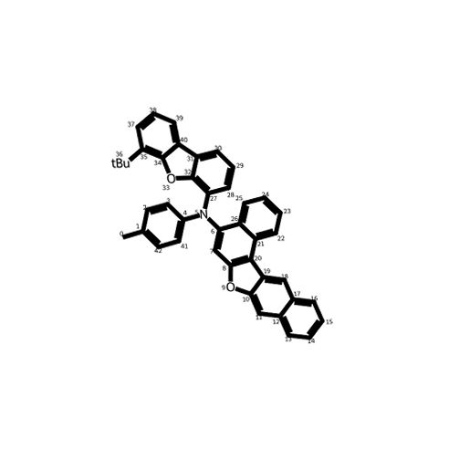 Cc1ccc(N(c2cc3oc4cc5ccccc5cc4c3c3ccccc23)c2cccc3c2oc2c(C(C)(C)C)cccc23)cc1